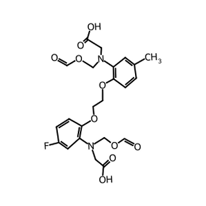 Cc1ccc(OCCOc2ccc(F)cc2N(COC=O)CC(=O)O)c(N(COC=O)CC(=O)O)c1